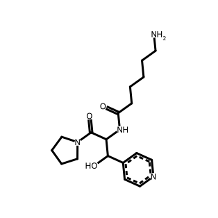 NCCCCCC(=O)NC(C(=O)N1CCCC1)C(O)c1ccncc1